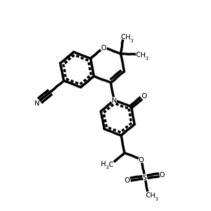 CC(OS(C)(=O)=O)c1ccn(C2=CC(C)(C)Oc3ccc(C#N)cc32)c(=O)c1